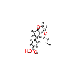 CCCCOCC(C)[C@@H](C)Oc1ccc(-c2ccc(C(=O)O)cc2)cc1